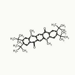 Cn1c2cc(C(C)(C)C)c(C(C)(C)C)cc2c(=O)c2cc3c(cc21)c(=O)c1cc(C(C)(C)C)c(C(C)(C)C)cc1n3C